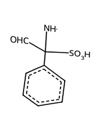 [NH]C(C=O)(c1ccccc1)S(=O)(=O)O